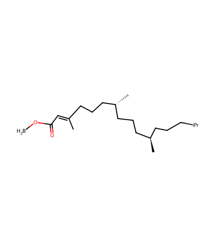 BOC(=O)/C=C(\C)CCC[C@H](C)CCC[C@H](C)CCCC(C)C